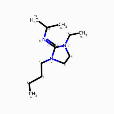 CCCCN1CCN(CC)/C1=N\C(C)C